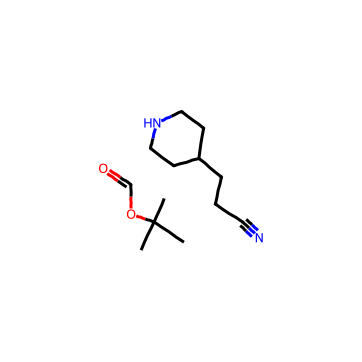 CC(C)(C)OC=O.N#CCCC1CCNCC1